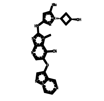 Cn1c(Nc2cc(C(C)(C)C)n([C@H]3C[C@H](O)C3)n2)nc2ncc(Oc3cnn4ccncc34)c(C#N)c21